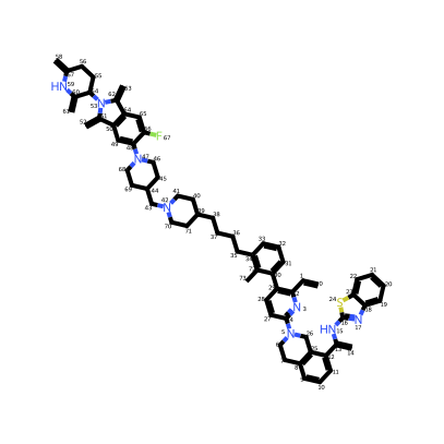 C=Cc1nc(N2CCc3cccc(C(=C)Nc4nc5ccccc5s4)c3C2)ccc1-c1cccc(CCCCC2CCN(CC3CCN(c4cc5c(=C)n(C6CCC(=C)NC6=C)c(=C)c5cc4F)CC3)CC2)c1C